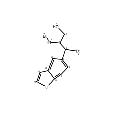 CCNC(CO)C(CC)c1ccc2occc2c1